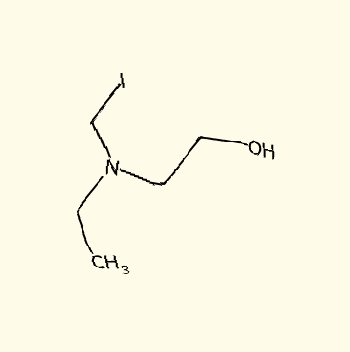 CCN(CI)CCO